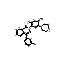 Cc1cccc(-c2nn(-c3cc(N4CCOCC4)c(C#N)cc3N)c(=O)c3ccccc23)c1